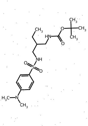 CCC(CNC(=O)OC(C)(C)C)CNS(=O)(=O)c1ccc(N(C)C)cc1